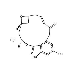 C[C@H]1C[C@H]2CC(C/C=C/C(=O)Cc3cc(O)cc(O)c3C(=O)O1)O2